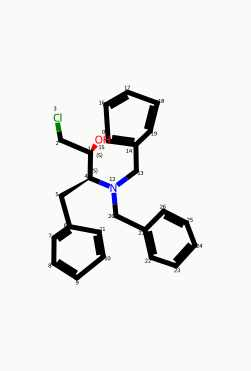 O[C@H](CCl)[C@H](Cc1ccccc1)N(Cc1ccccc1)Cc1ccccc1